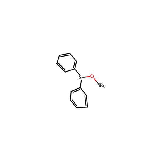 CCC(C)O[Si](c1ccccc1)c1ccccc1